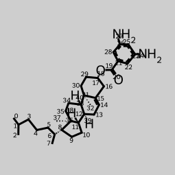 CC(C)CCCC(C)[C@H]1CC[C@H]2[C@@H]3CC=C4C[C@@H](OC(=O)c5cc(N)cc(N)c5)CC[C@]4(C)[C@H]3CC[C@]12C